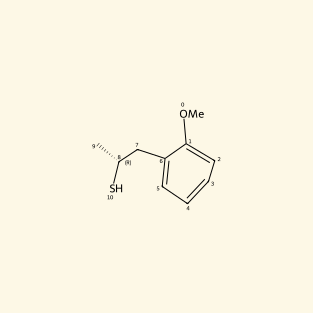 COc1ccccc1C[C@@H](C)S